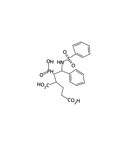 O=C(O)CCC(C(=O)O)C(C(NS(=O)(=O)c1ccccc1)c1ccccc1)[PH](=O)O